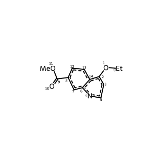 CCOc1ccnc2cc(C(=O)OC)ccc12